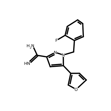 N=C(N)c1cc(-c2ccoc2)n(Cc2ccccc2F)n1